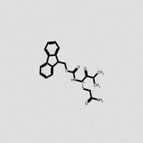 CC(C)C(=O)[C@H](CCC(N)=O)NC(=O)OCC1c2ccccc2-c2ccccc21